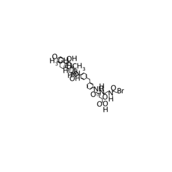 C[C@]12C=CC(=O)C=C1CC[C@@H]1[C@@H]2[C@@H](O)C[C@@]2(C)[C@H]1C[C@H]1CN(c3ccc(Cc4cccc(NC(=O)[C@H](CCC(=O)O)NC(=O)CNC(=O)CBr)c4)cc3)C[C@]12C(=O)CO